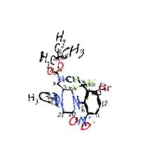 CN(C[C@H]1CN(c2c([N+](=O)[O-])ccc(Br)c2C(F)(F)F)CCN1C)C(=O)OC(C)(C)C